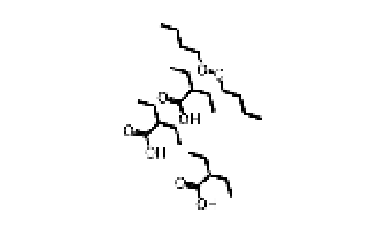 CCC(CC)C(=O)O.CCC(CC)C(=O)O.CCC(CC)C(=O)O.CCCCOOCCCC